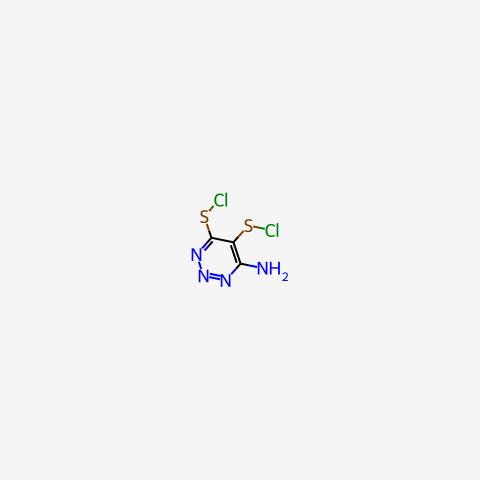 Nc1nnnc(SCl)c1SCl